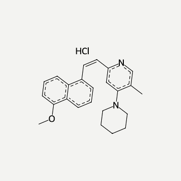 COc1cccc2c(/C=C\c3cc(N4CCCCC4)c(C)cn3)cccc12.Cl